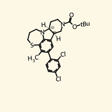 Cc1c(-c2ccc(Cl)cc2Cl)cc2c3c1SCCCN3[C@H]1CCN(C(=O)OC(C)(C)C)C[C@@H]21